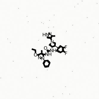 CCOc1nn(-c2ccccc2)c(NC(=O)N[C@@H]2CN(c3c[nH]nc3C)C[C@H]2c2ccc(F)c(F)c2)c1C